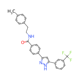 Cc1ccc(CCNC(=O)c2ccc(-c3cc(-c4cccc(C(F)(F)F)c4)[nH]n3)cc2)cc1